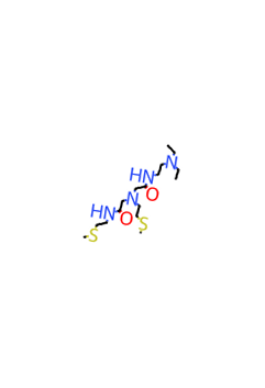 CCN(CC)CCNC(=O)CN(CCSC)CC(=O)NCCSC